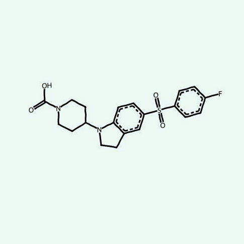 O=C(O)N1CCC(N2CCc3cc(S(=O)(=O)c4ccc(F)cc4)ccc32)CC1